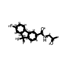 CC(=O)CNC(=O)c1ccc2c(c1)-c1ccc(F)cc1C2(F)F